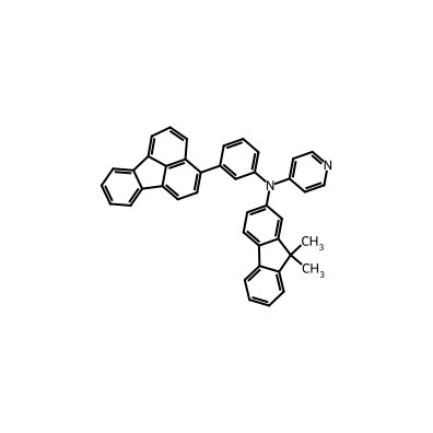 CC1(C)c2ccccc2-c2ccc(N(c3ccncc3)c3cccc(-c4ccc5c6c(cccc46)-c4ccccc4-5)c3)cc21